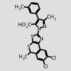 Cc1cccc(-c2c(C)nn(-c3nc4c(s3)SC(C)c3cc(Cl)c(Cl)cc3-4)c2C(=O)O)c1